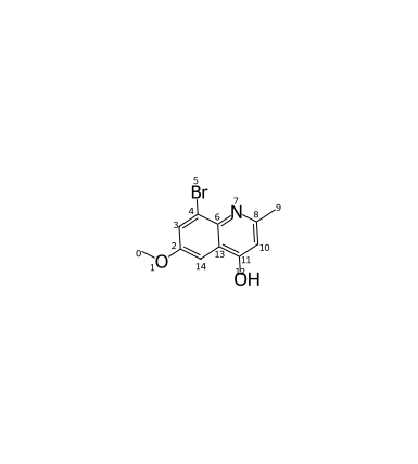 COc1cc(Br)c2nc(C)cc(O)c2c1